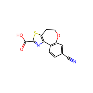 N#Cc1ccc2c(c1)OCCc1sc(C(=O)O)nc1-2